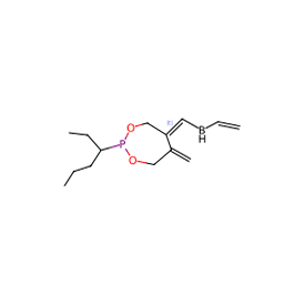 C=CB/C=C1/COP(C(CC)CCC)OCC1=C